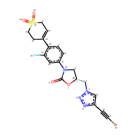 O=C1O[C@@H](Cn2cc(C#CBr)nn2)CN1c1ccc(C2=CCS(=O)(=O)CC2)c(F)c1